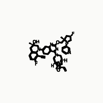 C#Cc1c(F)ccc2c1N(C1=Cc3nc(OC[C@]4(C)C[C@@H](F)CN4c4cccnc4)nc(N4C[C@H]5CC(C)[C@@H](C4)N5C(=O)C=C)c3CC1)C[C@@](C)(O)C2